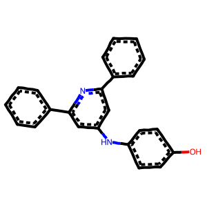 Oc1ccc(Nc2cc(-c3ccccc3)nc(-c3ccccc3)c2)cc1